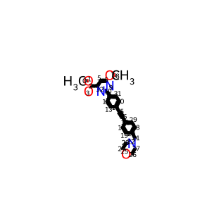 COC(=O)c1cc(OC)nc(-c2ccc(C#Cc3ccc(CN4CCOCC4)cc3)cc2)n1